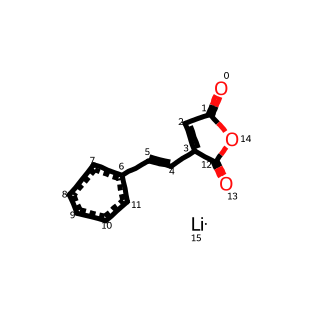 O=C1C=C(C=Cc2ccccc2)C(=O)O1.[Li]